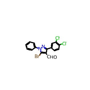 O=Cc1c(-c2ccc(Cl)c(Cl)c2)nn(-c2ccccc2)c1Br